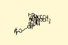 CC(C)(C)OC(=O)N/C(=N\C(=O)O)N1CC[C@H](O)[C@H]1c1nc(-c2ccc(OCCCCc3ccc(C(F)(F)F)cc3)c(C(F)(F)F)c2)no1